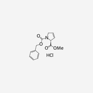 COC(=O)[C@@H]1C=CCN1C(=O)OCc1ccccc1.Cl